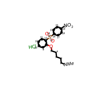 CNCCCCCOc1ccccc1S(=O)(=O)c1ccc([N+](=O)[O-])cc1.Cl